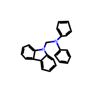 c1ccc(N(Cn2c3ccccc3c3ccccc32)c2ccccc2)cc1